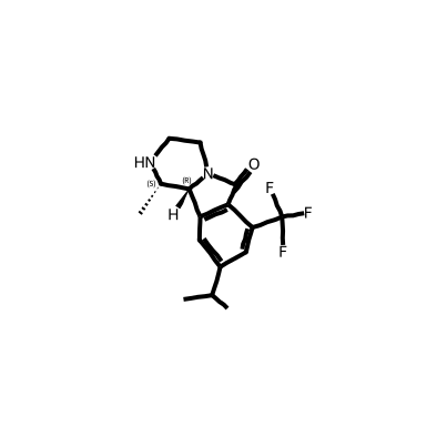 CC(C)c1cc2c(c(C(F)(F)F)c1)C(=O)N1CCN[C@@H](C)[C@@H]21